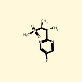 C[C@H](c1ncc(F)cn1)[C@H](C)S(C)(=O)=O